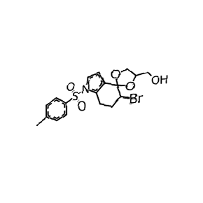 Cc1ccc(S(=O)(=O)n2ccc3c2CCC(Br)C32OCC(CO)O2)cc1